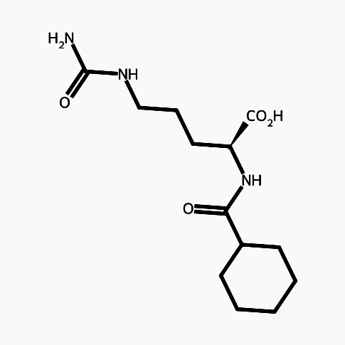 NC(=O)NCCC[C@H](NC(=O)C1CCCCC1)C(=O)O